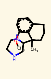 COc1cccc2c1C(C)(C1CNCCN1)CCC2